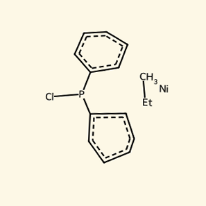 CCC.ClP(c1ccccc1)c1ccccc1.[Ni]